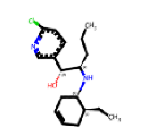 CCC[C@@H](N[C@@H]1CC=CC[C@@H]1CC)[C@H](O)c1ccc(Cl)nc1